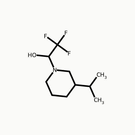 CC(C)C1CCCN(C(O)C(F)(F)F)C1